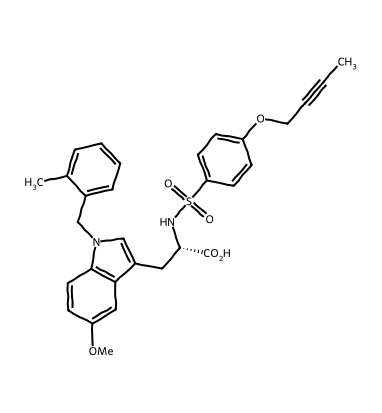 CC#CCOc1ccc(S(=O)(=O)N[C@@H](Cc2cn(Cc3ccccc3C)c3ccc(OC)cc23)C(=O)O)cc1